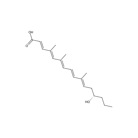 CCC[C@H](O)C/C=C(C)/C=C/C=C(C)/C=C(C)/C=C/C(=O)O